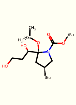 C[SiH](C)O[C@]1([C@H](O)CCO)C[C@H](C(C)(C)C)CN1C(=O)OC(C)(C)C